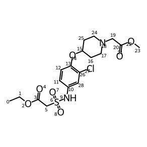 CCOC(=O)CS(=O)(=O)Nc1ccc(OC2CCN(CC(=O)OC)CC2)c(Cl)c1